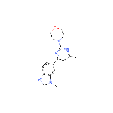 Cc1cc(-c2ccc3c(c2)N(C)CN3)nc(N2CCOCC2)n1